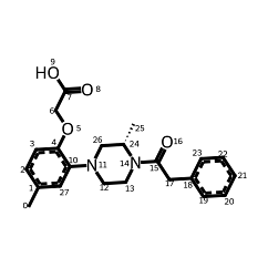 Cc1ccc(OCC(=O)O)c(N2CCN(C(=O)Cc3ccccc3)[C@@H](C)C2)c1